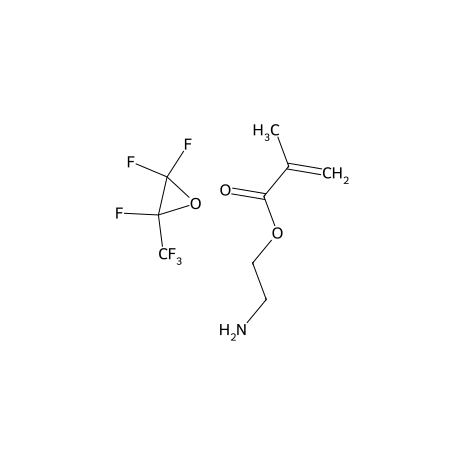 C=C(C)C(=O)OCCN.FC(F)(F)C1(F)OC1(F)F